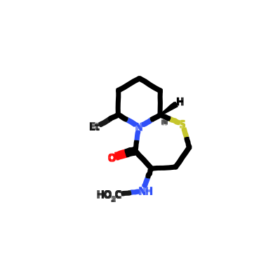 CCC1CCC[C@@H]2SCCC(NC(=O)O)C(=O)N12